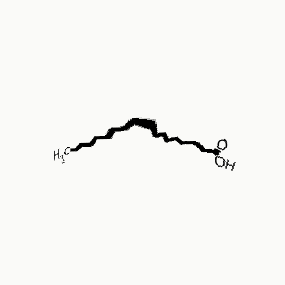 CCC=CCCCC/C=C\CCCCCCCC(=O)O